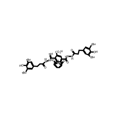 CC(C)(C)c1cc(CCC(=O)NNC(=N)c2c(C(=O)O)cc(C(=O)NNC(=O)CCc3cc(C(C)(C)C)c(O)c(C(C)(C)C)c3)c3c4ccc(c(=O)[nH]c4=O)c23)cc(C(C)(C)C)c1O